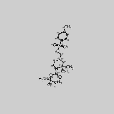 Cc1ccc(S(=O)(=O)OC[C@@H]2CCN(C(=O)OC(C)(C)C)C(C)(C)C2)cc1